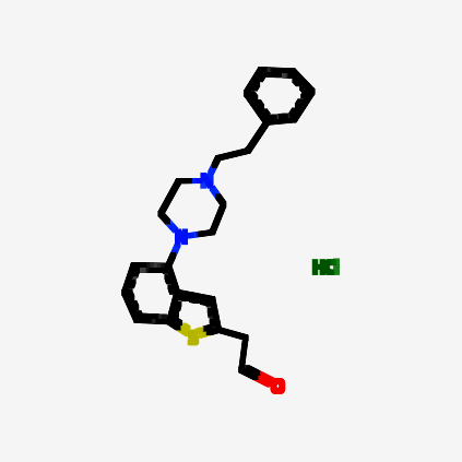 Cl.O=CCc1cc2c(N3CCN(CCc4ccccc4)CC3)cccc2s1